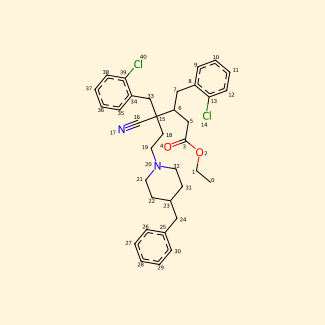 CCOC(=O)CC(Cc1ccccc1Cl)C(C#N)(CCN1CCC(Cc2ccccc2)CC1)Cc1ccccc1Cl